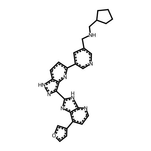 c1cc(-c2ccoc2)c2nc(-c3n[nH]c4ccc(-c5cncc(CNCC6CCCC6)c5)nc34)[nH]c2n1